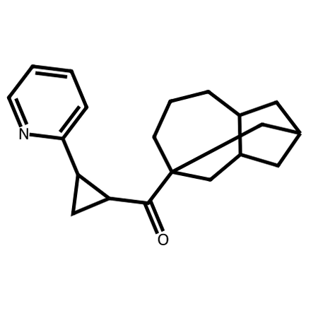 O=C(C1CC1c1ccccn1)C12CCCC3CC(CC3C1)C2